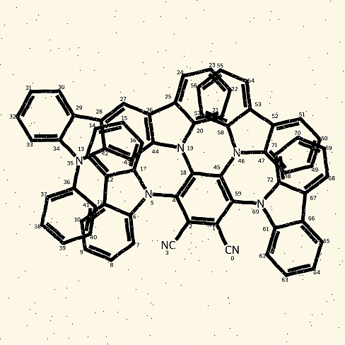 N#Cc1c(C#N)c(-n2c3ccccc3c3ccccc32)c(-n2c3ccccc3c3cc4c5ccccc5n(-c5ccccc5)c4cc32)c(-n2c3ccccc3c3ccccc32)c1-n1c2ccccc2c2ccccc21